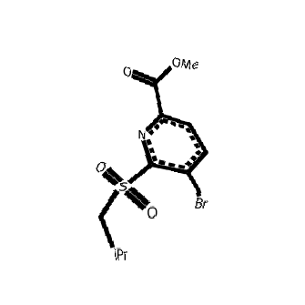 COC(=O)c1ccc(Br)c(S(=O)(=O)CC(C)C)n1